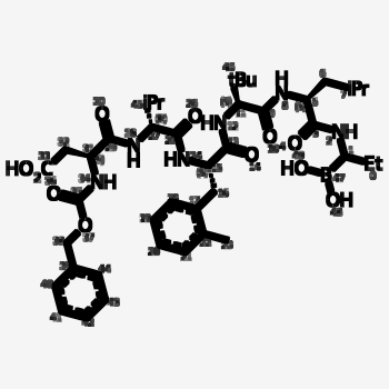 CCC(NC(=O)[C@H](CC(C)C)NC(=O)[C@@H](NC(=O)[C@H](Cc1ccccc1C)NC(=O)[C@H](NC(=O)[C@H](CC(=O)O)NC(=O)OCc1ccccc1)C(C)C)C(C)(C)C)B(O)O